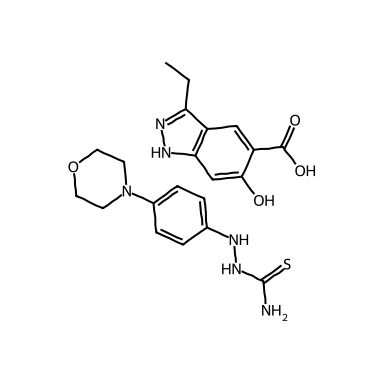 CCc1n[nH]c2cc(O)c(C(=O)O)cc12.NC(=S)NNc1ccc(N2CCOCC2)cc1